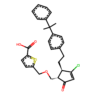 CC(C)(c1ccccc1)c1ccc(CC[C@H]2C(Cl)=CC(=O)[C@@H]2COCc2ccc(C(=O)O)s2)cc1